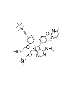 Cc1ccnc(Oc2ccc(-c3c(-c4cnc(C#C[Si](C)(C)C(C)(C)C)cc4OCCO)n(COCC[Si](C)(C)C)c4ncnc(N)c34)cc2F)n1